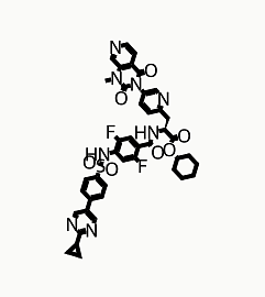 Cn1c(=O)n(-c2ccc(C[C@H](NC(=O)c3cc(F)c(NS(=O)(=O)c4ccc(-c5cnc(C6CC6)nc5)cc4)cc3F)C(=O)OC3CCCCC3)nc2)c(=O)c2ccncc21